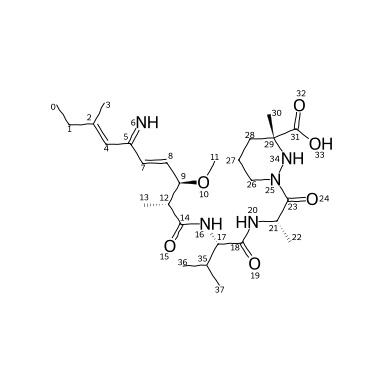 CC/C(C)=C/C(=N)/C=C/[C@@H](OC)[C@@H](C)C(=O)N[C@H](C(=O)N[C@@H](C)C(=O)N1CCC[C@](C)(C(=O)O)N1)C(C)C